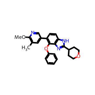 COc1ncc(-c2ccc3[nH]c(C4CCOCC4)nc3c2Oc2ccccc2)cc1C